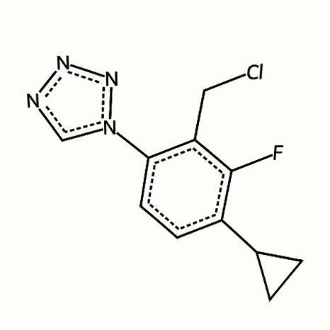 Fc1c(C2CC2)ccc(-n2cnnn2)c1CCl